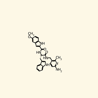 COc1ccc2[nH]c(C(=O)N[C@@H](Cc3c[nH]c4ccccc34)C(=O)NCc3ccc(N)nc3C)cc2c1